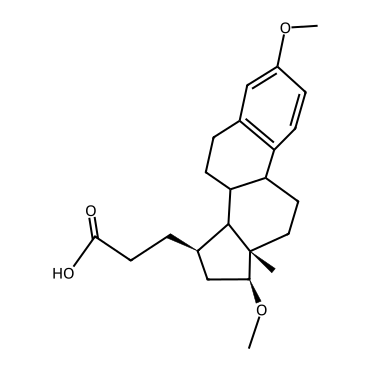 COc1ccc2c(c1)CCC1C2CC[C@@]2(C)C1[C@H](CCC(=O)O)C[C@@H]2OC